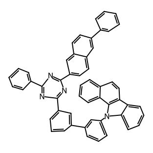 c1ccc(-c2ccc3cc(-c4nc(-c5ccccc5)nc(-c5cccc(-c6cccc(-n7c8ccccc8c8ccc9ccccc9c87)c6)c5)n4)ccc3c2)cc1